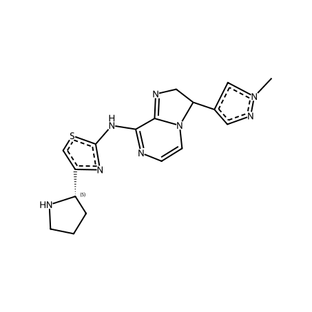 Cn1cc(C2CN=C3C(Nc4nc([C@@H]5CCCN5)cs4)=NC=CN32)cn1